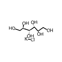 OC[C@@H](O)[C@@H](O)[C@H](O)[C@@H](O)CO.[Cl][K]